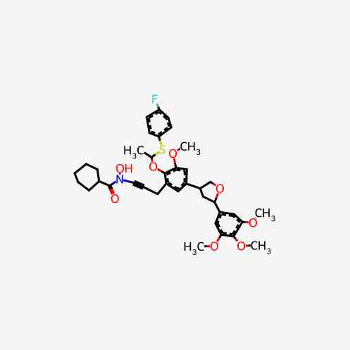 COc1cc(C2COC(c3cc(OC)c(OC)c(OC)c3)C2)cc(CC#CN(O)C(=O)C2CCCCC2)c1OC(C)Sc1ccc(F)cc1